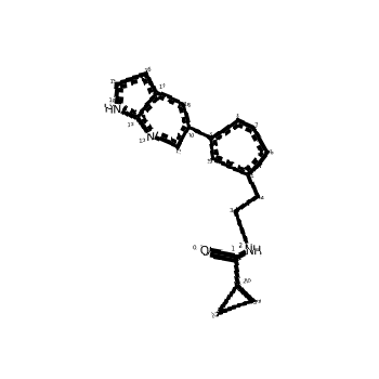 O=C(NCCc1cccc(-c2cnc3[nH]ccc3c2)c1)C1CC1